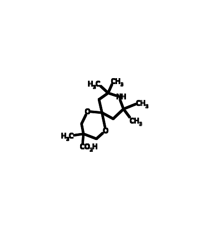 CC1(C)CC2(CC(C)(C)N1)OCC(C)(C(=O)O)CO2